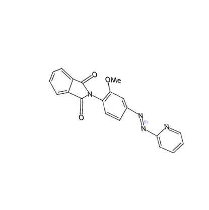 COc1cc(/N=N/c2ccccn2)ccc1N1C(=O)c2ccccc2C1=O